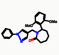 COc1cccc(OC)c1C1CCCCC(=O)N1Cc1cnn(-c2ccccc2)c1